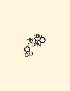 CC(C)(C)C(NC(=O)Cc1ccc2c(c1)OCO2)n1nnc2ccccc21